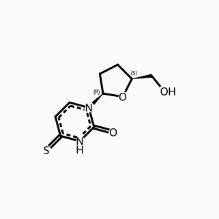 O=c1[nH]c(=S)ccn1[C@H]1CC[C@@H](CO)O1